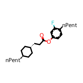 CCCCCc1ccc(OC(=O)CC[C@H]2CC[C@H](CCCCC)CC2)cc1F